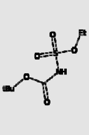 CCOS(=O)(=O)NC(=O)OC(C)(C)C